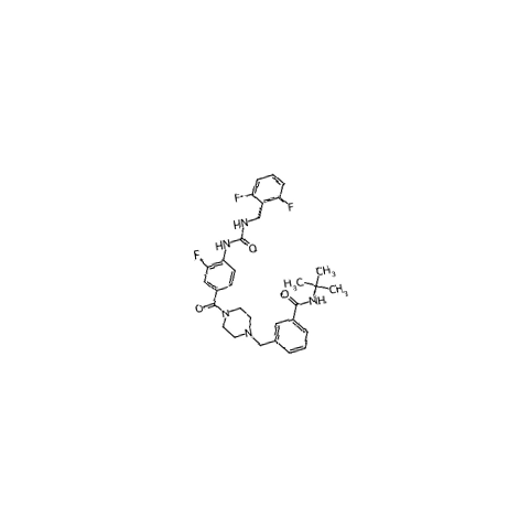 CC(C)(C)NC(=O)c1cccc(CN2CCN(C(=O)c3ccc(NC(=O)NCc4c(F)cccc4F)c(F)c3)CC2)c1